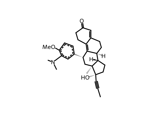 CC#C[C@]1(O)CC[C@H]2[C@@H]3CCC4=CC(=O)CCC4=C3[C@@H](c3ccc(OC)c(N(C)C)c3)C[C@@]21C